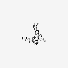 CCCC(=O)Nc1cc(C(C)NC(=O)c2ccc(OCC(F)(F)F)cn2)ccn1